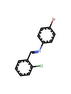 Clc1ccccc1C=Nc1ccc(Br)cc1